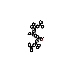 Cc1cccc(-c2cc3cc4c(cc(-c5cccc(C)c5)n4-c4ccc(N(c5ccc(N(c6ccccc6)c6ccccc6)cc5)c5cccc6ccccc56)cc4)cc3n2-c2ccc(N(c3ccc(N(c4ccccc4)c4ccccc4)cc3)c3cccc4ccccc34)cc2)c1